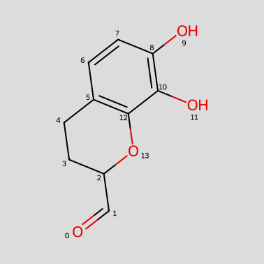 O=CC1CCc2ccc(O)c(O)c2O1